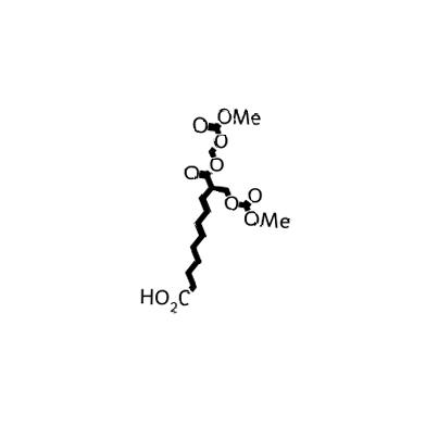 COC(=O)OCOC(=O)C(CCCCCCCCC(=O)O)COC(=O)OC